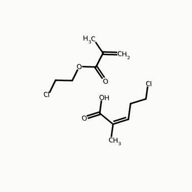 C=C(C)C(=O)OCCCl.CC(=CCCCl)C(=O)O